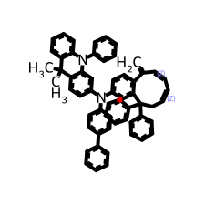 C=C1/C=C\C=C/CC(c2ccccc2)(c2ccccc2)c2cc(N(c3ccc(-c4ccccc4)cc3)c3ccc4c(c3)N(c3ccccc3)c3ccccc3C4(C)C)ccc21